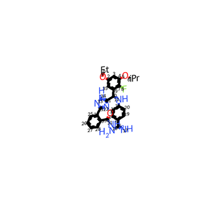 CCOc1cc(OC(C)C)c(F)c(C(Nc2ccc(C(=N)N)cc2)c2nc(-c3ccccc3C(N)=O)n[nH]2)c1